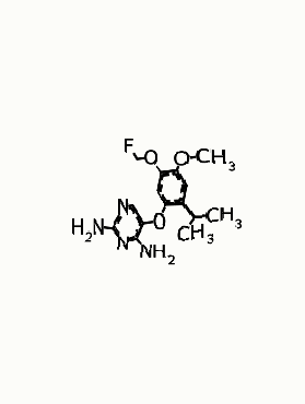 COc1cc(C(C)C)c(Oc2cnc(N)nc2N)cc1OCF